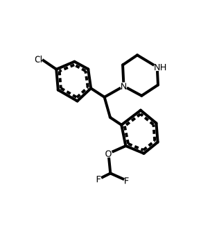 FC(F)Oc1ccccc1CC(c1ccc(Cl)cc1)N1CCNCC1